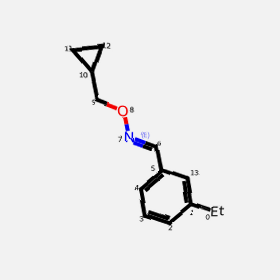 CCc1cccc(/C=N/OCC2CC2)c1